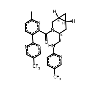 Cc1ccc(-c2ncc(C(F)(F)F)cn2)c(C(=O)N2C[C@@H]3C[C@@H]3C[C@H]2CNc2ccc(C(F)(F)F)cn2)n1